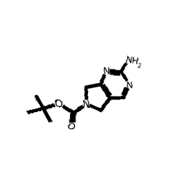 CC(C)(C)OC(=O)N1Cc2cnc(N)nc2C1